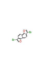 Brc1coc2c1ccc1c2ccc2c(Br)coc21